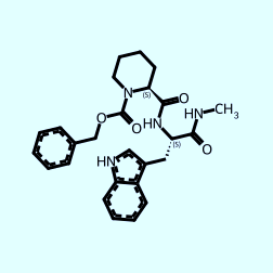 CNC(=O)[C@H](Cc1c[nH]c2ccccc12)NC(=O)[C@@H]1CCCCN1C(=O)OCc1ccccc1